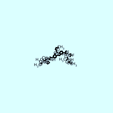 COC(=O)N[C@H](C(=O)N1CCC[C@H]1c1ncc(-c2ccc3c(c2)OC(c2ccc(C)o2)n2c-3cc3cc(-c4cnc([C@@H]5C[C@@H](F)CN5C(=O)[C@@H](NC(=O)OC)C(C)C)[nH]4)ccc32)[nH]1)C(C)C